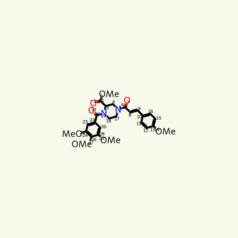 COC(=O)C1CN(C(=O)C=Cc2ccc(OC)cc2)CCN1C(=O)c1cc(OC)c(OC)c(OC)c1